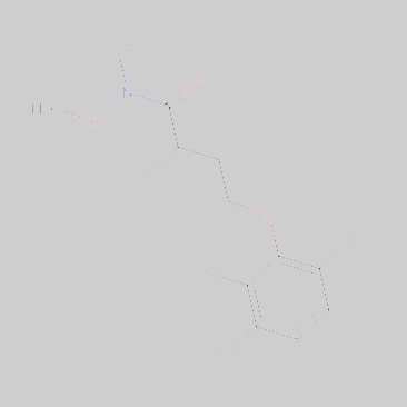 CON(C)C(=O)C(F)CCOc1c(C)ccc(Br)c1F